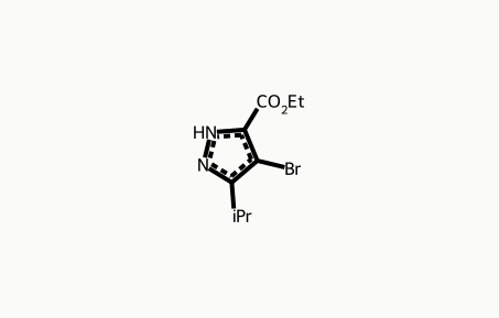 CCOC(=O)c1[nH]nc(C(C)C)c1Br